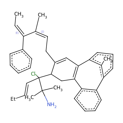 C/C=C(\C(C)=C/CC1=CC2=C(CC1C(Cl)(C=CCC)C(C)(C)N)c1ccccc1-c1cccc2c1C)c1ccccc1